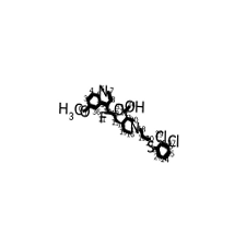 COc1ccc2nccc([C@@H](F)CC[C@@H]3CCN(CCCSc4cccc(Cl)c4Cl)C[C@@H]3C(=O)O)c2c1